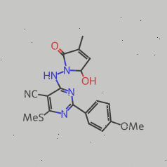 COc1ccc(-c2nc(NN3C(=O)C(C)=CC3O)c(C#N)c(SC)n2)cc1